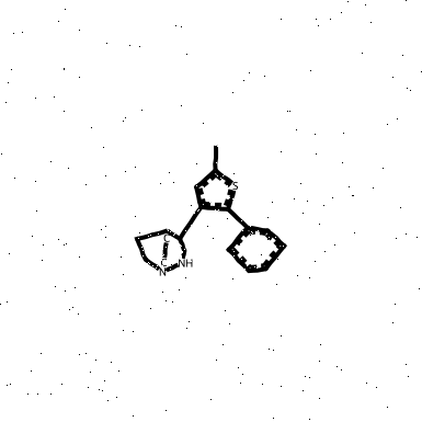 Cc1cc(C2CNN3CCC2CC3)c(-c2ccccc2)s1